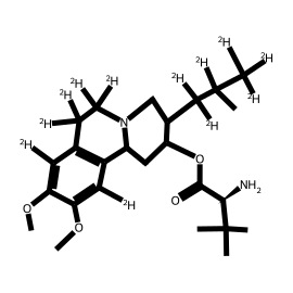 [2H]c1c(OC)c(OC)c([2H])c2c1C1CC(OC(=O)[C@@H](N)C(C)(C)C)C(C([2H])([2H])C([2H])(C)C([2H])([2H])[2H])CN1C([2H])([2H])C2([2H])[2H]